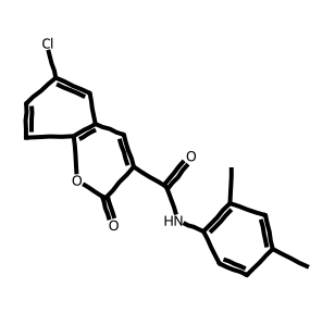 Cc1ccc(NC(=O)c2cc3cc(Cl)ccc3oc2=O)c(C)c1